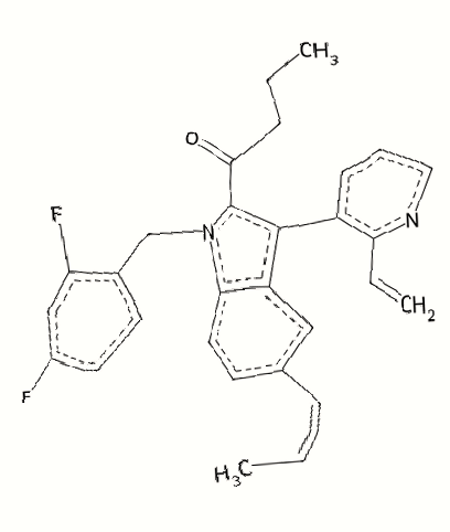 C=Cc1ncccc1-c1c(C(=O)CCC)n(Cc2ccc(F)cc2F)c2ccc(/C=C\C)cc12